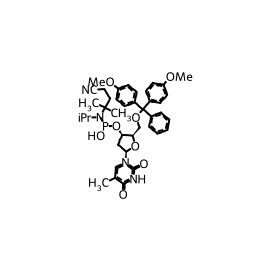 COc1ccc(C(OC[C@H]2O[C@@H](n3cc(C)c(=O)[nH]c3=O)C[C@H]2OP(O)N(C(C)C)C(C)(C)CCC#N)(c2ccccc2)c2ccc(OC)cc2)cc1